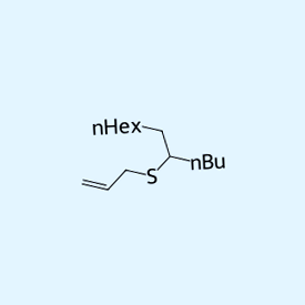 C=CCSC(CCCC)CCCCCCC